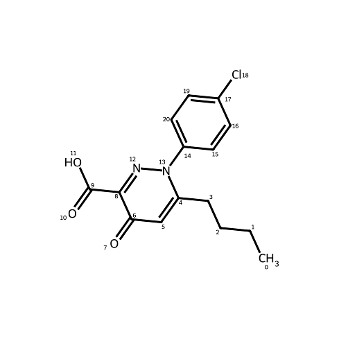 CCCCc1cc(=O)c(C(=O)O)nn1-c1ccc(Cl)cc1